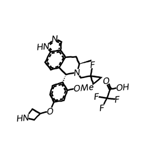 COc1cc(OC2CNC2)ccc1[C@@H]1c2ccc3[nH]ncc3c2C[C@@H](C)N1CC1(F)CC1.O=C(O)C(F)(F)F